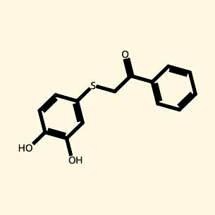 O=C(CSc1ccc(O)c(O)c1)c1ccccc1